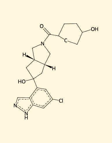 O=C(C1CCC(O)CC1)N1C[C@@H]2CC(O)(c3cc(Cl)cc4[nH]ncc34)C[C@@H]2C1